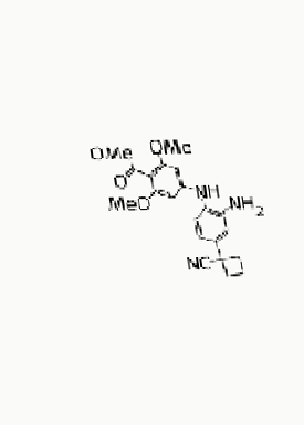 COC(=O)c1c(OC)cc(Nc2ccc(C3(C#N)CCC3)cc2N)cc1OC